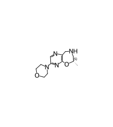 C[C@H]1CNCc2ncc(N3CCOCC3)nc2O1